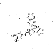 O=C(COc1ccc(Cl)c(Cl)c1)N[C@H](CN1CCCC1)[C@H](O)c1ccc2c(c1)OCCC2